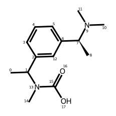 CC(c1cccc([C@H](C)N(C)C)c1)N(C)C(=O)O